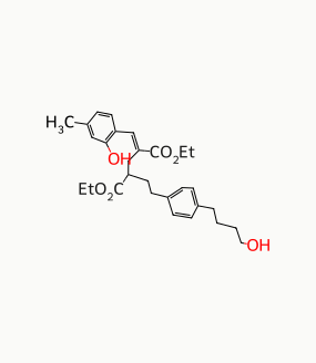 CCOC(=O)C(=Cc1ccc(C)cc1O)CC(CCc1ccc(CCCCO)cc1)C(=O)OCC